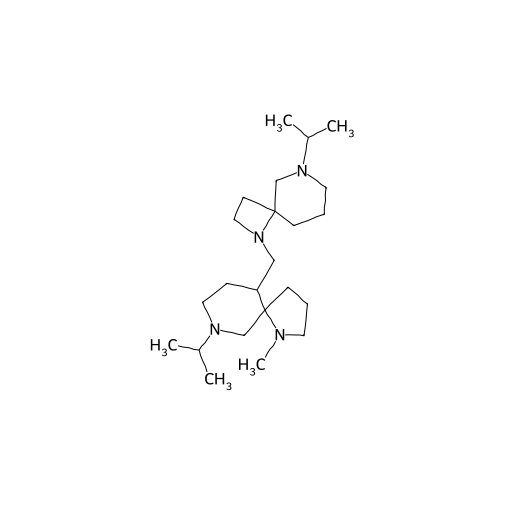 CC(C)N1CCCC2(CCN2CC2CCN(C(C)C)CC23CCCN3C)C1